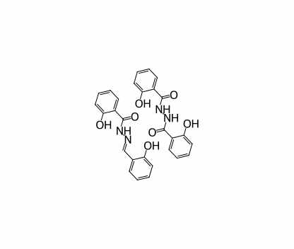 O=C(NN=Cc1ccccc1O)c1ccccc1O.O=C(NNC(=O)c1ccccc1O)c1ccccc1O